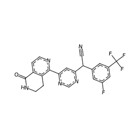 N#CC(c1cc(F)cc(C(F)(F)F)c1)c1cc(-c2nccc3c2CCNC3=O)ncn1